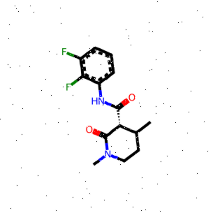 CC1CCN(C)C(=O)[C@@H]1C(=O)Nc1cccc(F)c1F